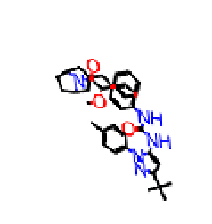 CO[C@H](C(=O)N1C2CCC1CC(Cc1ccc(NC(=O)Nc3cc(C(C)(C)C)nn3-c3ccc(C)cc3)cc1)C2)c1ccccc1